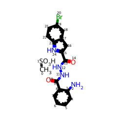 CS(=O)(=O)O.Nc1ccccc1C(=O)NNC(=O)c1cc2cc(Br)ccc2[nH]1